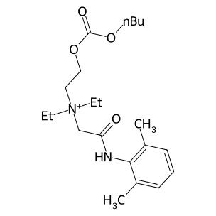 CCCCOC(=O)OCC[N+](CC)(CC)CC(=O)Nc1c(C)cccc1C